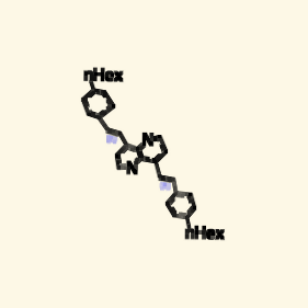 CCCCCCc1ccc(/C=C/c2ccnc3c(/C=C/c4ccc(CCCCCC)cc4)ccnc23)cc1